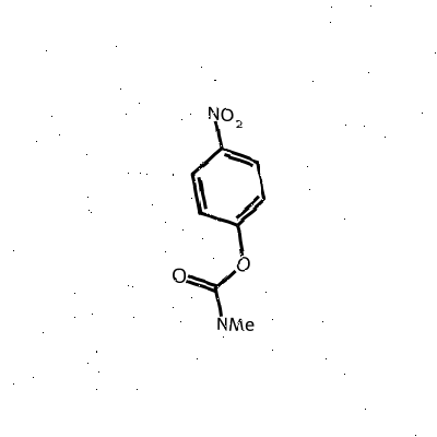 CNC(=O)Oc1ccc([N+](=O)[O-])cc1